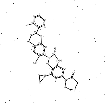 O=C1COCCN1c1cc2c(c(C3CC3)n1)CN(c1cc3c(cc1Cl)CCC(c1ncccc1F)O3)C(=O)N2